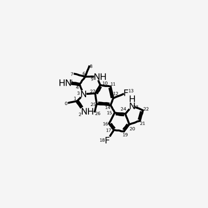 CC(=N)N1C(=N)C(C)(C)Nc2cc(F)c(-c3cc(F)cc4cc[nH]c34)c(C)c21